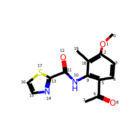 COc1ccc(C(C)=O)c(NC(=O)c2nccs2)c1C